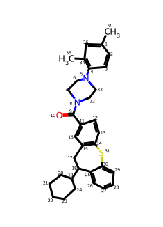 Cc1ccc(N2CCN(C(=O)c3ccc4c(c3)CC(C3CCCCC3)c3ccccc3S4)CC2)c(C)c1